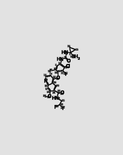 BC1(NC(=O)Nc2cc(F)c(Oc3ccnc4cc(OC)c(C(=O)NCC(F)F)cc34)c(F)c2Cl)CC1